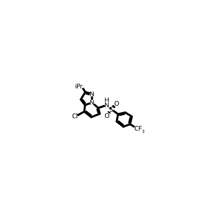 CC(C)c1cc2c(Cl)ccc(NS(=O)(=O)c3ccc(C(F)(F)F)cc3)n2n1